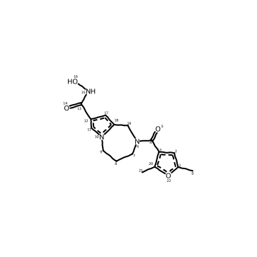 Cc1cc(C(=O)N2CCCn3cc(C(=O)NO)cc3C2)c(C)o1